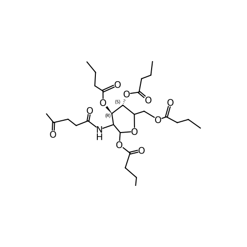 CCCC(=O)OCC1OC(OC(=O)CCC)C(NC(=O)CCC(C)=O)[C@@H](OC(=O)CCC)[C@@H]1OC(=O)CCC